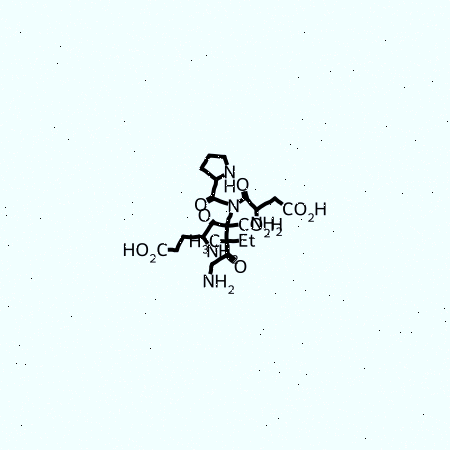 CCC(C)(C(=O)CN)C(C(=O)O)(C(=O)C(N)CCC(=O)O)N(C(=O)C(N)CC(=O)O)C(=O)C1CCCN1